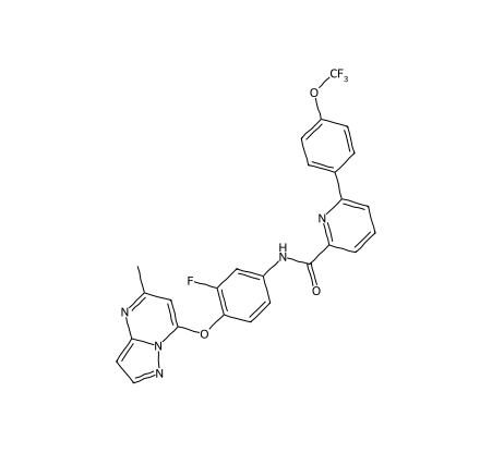 Cc1cc(Oc2ccc(NC(=O)c3cccc(-c4ccc(OC(F)(F)F)cc4)n3)cc2F)n2nccc2n1